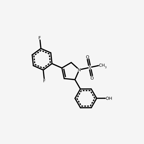 CS(=O)(=O)N1CC(c2cc(F)ccc2F)=CC1c1cccc(O)c1